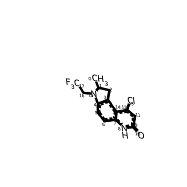 CC1Cc2c(ccc3[nH]c(=O)cc(Cl)c23)N1CC(F)(F)F